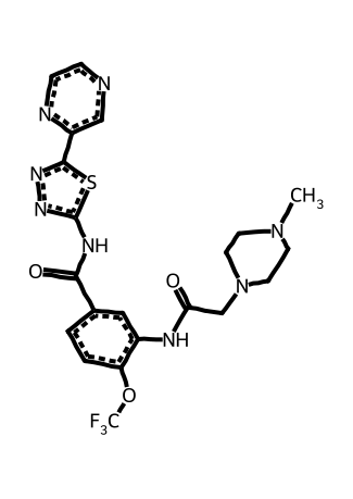 CN1CCN(CC(=O)Nc2cc(C(=O)Nc3nnc(-c4cnccn4)s3)ccc2OC(F)(F)F)CC1